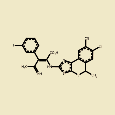 CC(=N)/C(=C(\Nc1nc2c(s1)SC(C)c1cc(Cl)c(C#N)cc1-2)C(=O)O)c1cccc(F)c1